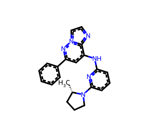 C[C@H]1CCCN1c1cccc(Nc2cc(-c3ccccc3)nn3ccnc23)n1